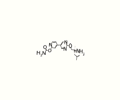 CC(C)C[C@](C)(N)COc1ncc(-c2ccnc(OC(N)=O)c2)cn1